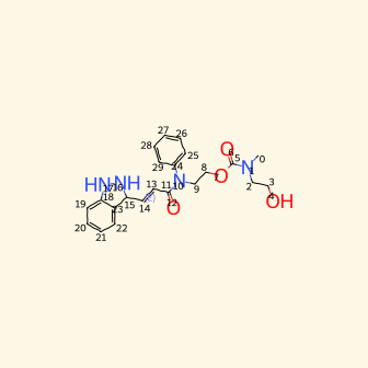 CN(CCO)C(=O)OCCN(C(=O)/C=C/C1NNc2ccccc21)c1ccccc1